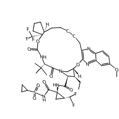 CC[C@@H]1[C@@H]2CN(C(=O)[C@H](C(C)(C)C)NC(=O)O[C@@]3(C(F)(F)F)CCC[C@H]3CCCCCc3nc4ccc(OC)cc4nc3O2)[C@@H]1C(=O)N[C@]1(C(=O)NS(=O)(=O)C2CC2)C[C@H]1C(F)F